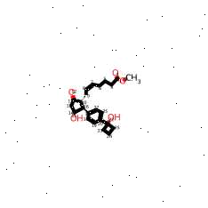 COC(=O)CCC/C=C\C[C@H]1C(=O)C[C@@H](O)[C@@H]1c1ccc(C2(O)CCC2)cc1